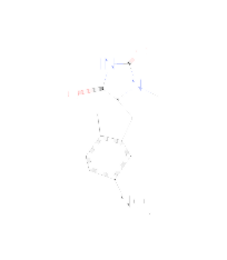 CN1C(=O)NC(=O)[C@@]12Cc1ccc([N+](=O)[O-])cc1C2